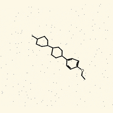 CCOc1ccc(C2CCC(C3CCC(I)CC3)CC2)cc1